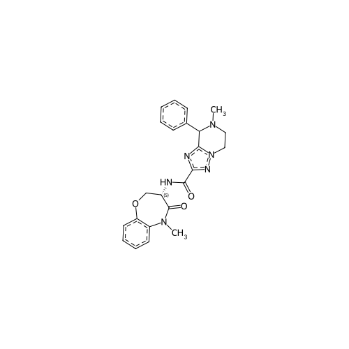 CN1C(=O)[C@@H](NC(=O)c2nc3n(n2)CCN(C)C3c2ccccc2)COc2ccccc21